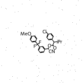 COc1ccc(C(F)(F)c2cccc(C(C#N)OC(=O)C(c3ccc(Cl)cc3)C(C)C)c2)cc1